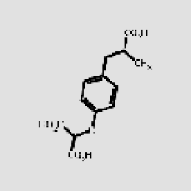 C[C@@H](Cc1ccc(OC(C(=O)O)C(=O)O)cc1)C(=O)O